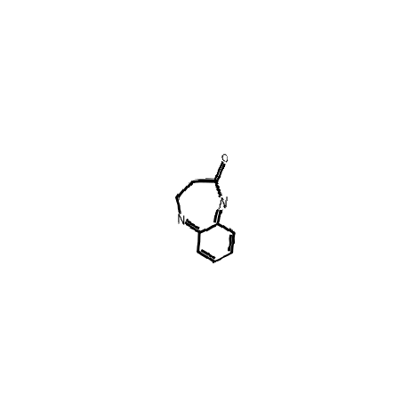 O=C1CCN=c2ccccc2=N1